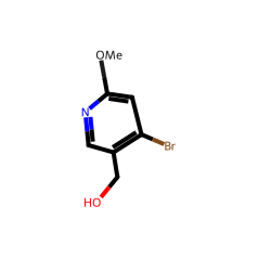 COc1cc(Br)c(CO)cn1